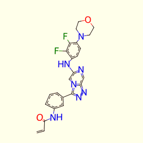 C=CC(=O)Nc1cccc(-c2nnc3cnc(Nc4ccc(N5CCOCC5)c(F)c4F)cn23)c1